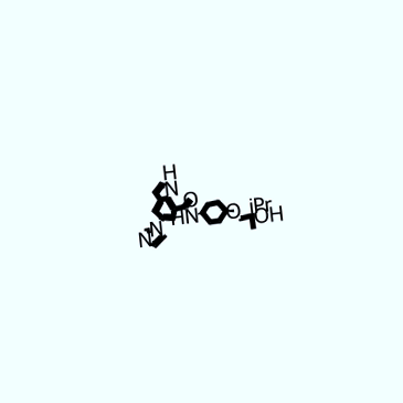 CC(C)C(C)(O)CO[C@H]1CC[C@H](NC(=O)c2cc(-n3ccnc3)cc3cc[nH]c23)CC1